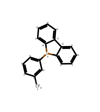 FC(F)(F)c1cccc(-[s+]2c3ccccc3c3ccccc32)c1